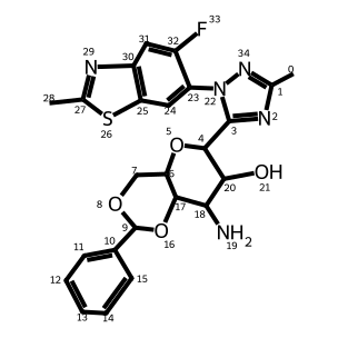 Cc1nc(C2OC3COC(c4ccccc4)OC3C(N)C2O)n(-c2cc3sc(C)nc3cc2F)n1